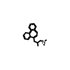 CC(CC1=CC=c2ccccc2=C2CC=CC=C12)CN(C)C